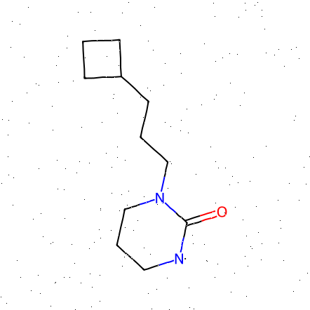 O=C1[N]CCCN1CCCC1CCC1